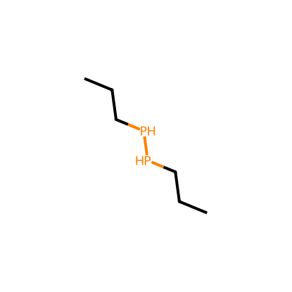 CCCPPCCC